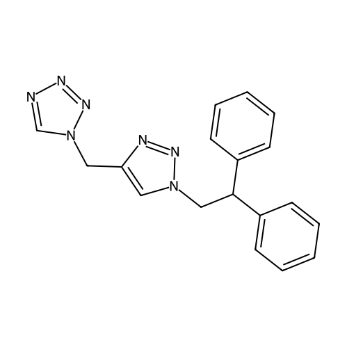 c1ccc(C(Cn2cc(Cn3cnnn3)nn2)c2ccccc2)cc1